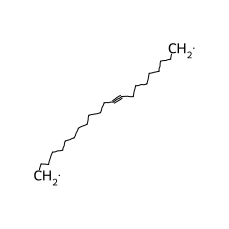 [CH2]CCCCCCCC#CCCCCCCCCCCC[CH2]